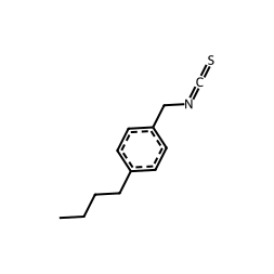 CCCCc1ccc(CN=C=S)cc1